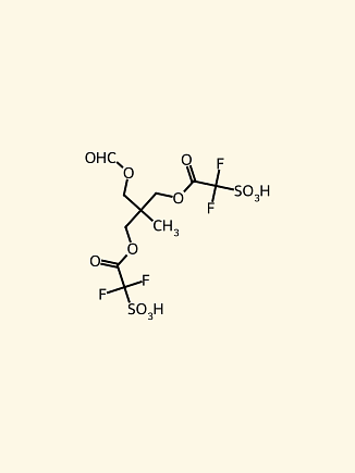 CC(COC=O)(COC(=O)C(F)(F)S(=O)(=O)O)COC(=O)C(F)(F)S(=O)(=O)O